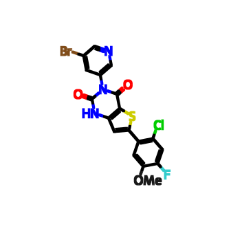 COc1cc(-c2cc3[nH]c(=O)n(-c4cncc(Br)c4)c(=O)c3s2)c(Cl)cc1F